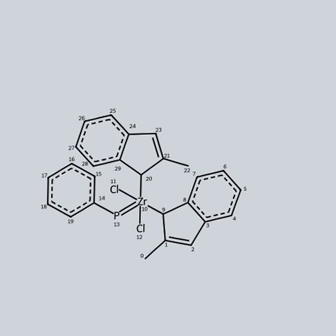 CC1=Cc2ccccc2[CH]1[Zr]([Cl])([Cl])(=[P]c1ccccc1)[CH]1C(C)=Cc2ccccc21